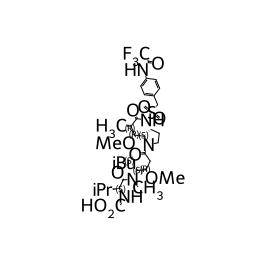 CC[C@H](C)[C@@H]([C@@H](CC(=O)N1CCC[C@H]1[C@H](OC)[C@@H](C)C(=O)NS(=O)(=O)Cc1ccc(NC(=O)C(F)(F)F)cc1)OC)N(C)C(=O)[C@@H](NC(=O)O)C(C)C